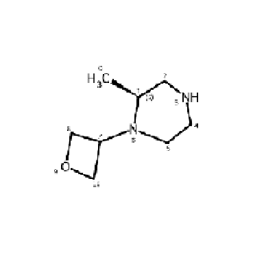 C[C@H]1CNCCN1C1COC1